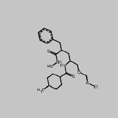 CCOCOCC(CC(Cc1ccccc1)C(=O)NO)NC(=O)C1CCC(C)CC1